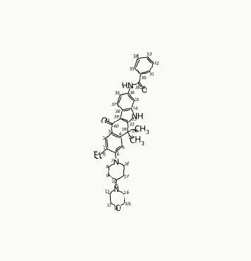 CCc1cc2c(cc1N1CCC(N3CCOCC3)CC1)C(C)(C)c1[nH]c3cc(NC(=O)c4ccccc4)ccc3c1C2=O